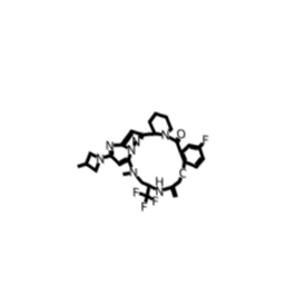 C=C1CCc2ccc(F)cc2C(=O)N2CCCCC2c2cc3nc(N4CC(C)C4)cc(n3n2)N(C)CC(C(F)(F)F)N1